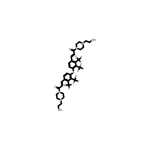 O=C(/C=C/c1ccc(Sc2ccc(/C=C/C(=O)N3CCN(CCO)CC3)c(C(F)(F)F)c2C(F)(F)F)c(C(F)(F)F)c1C(F)(F)F)N1CCN(CCO)CC1